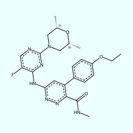 CCOc1ccc(-c2cc(Nc3nc(N4C[C@@H](C)O[C@@H](C)C4)ncc3F)nnc2C(=O)NC)cc1